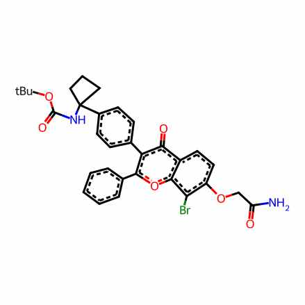 CC(C)(C)OC(=O)NC1(c2ccc(-c3c(-c4ccccc4)oc4c(Br)c(OCC(N)=O)ccc4c3=O)cc2)CCC1